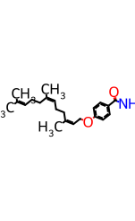 CC(C)=CCCC(C)=CCCC(C)=CCOc1ccc(C(N)=O)cc1